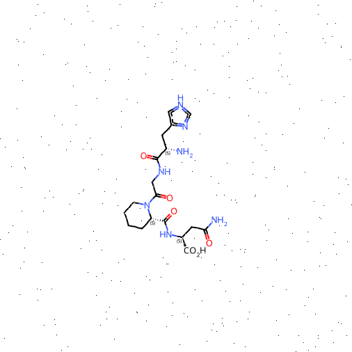 NC(=O)C[C@H](NC(=O)[C@@H]1CCCCN1C(=O)CNC(=O)[C@@H](N)Cc1c[nH]cn1)C(=O)O